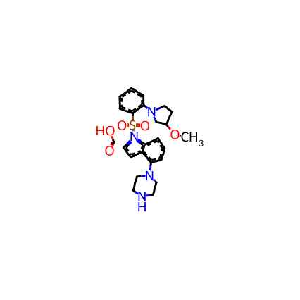 COC1CCN(c2ccccc2S(=O)(=O)n2ccc3c(N4CCNCC4)cccc32)C1.O=CO